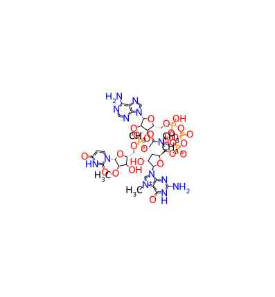 CO[C@@H]1[C@H](O)[C@@H](COP(=O)([O-])O[C@H]2[C@@H](OC)[C@H](n3cnc4c(N)ncnc43)O[C@@H]2COP(=O)(O)OP(=O)(O)OP(=O)(O)OC[C@H]2O[C@@H](n3c[n+](C)c4c(=O)[nH]c(N)nc43)[C@H](O)[C@@H]2CC(=O)N(C)C)O[C@H]1n1ccc(=O)[nH]c1=O